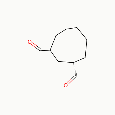 O=CC1CCCCC[C@H](C=O)C1